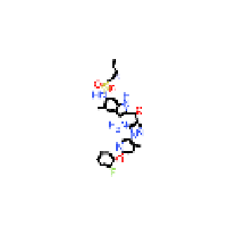 C=C/C=C\CS(=O)(=O)Nc1cc2[nH]c(C(=O)c3cnn(-c4cnc(Oc5ccccc5F)cc4C)c3N)cc2cc1C